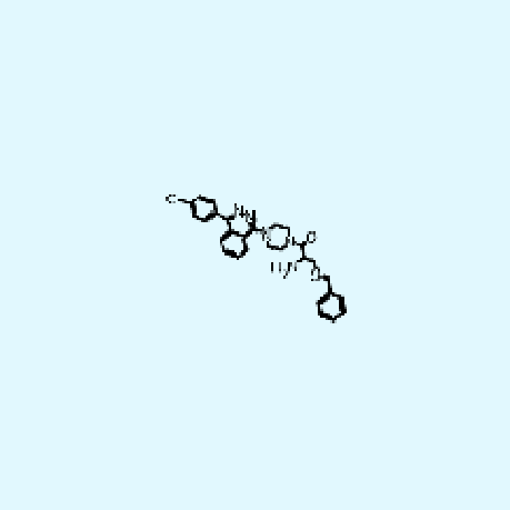 NC(COCc1ccccc1)C(=O)N1CCN(c2nnc(-c3ccc(Cl)cc3)c3ccccc23)CC1